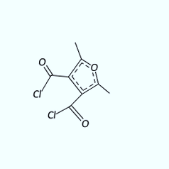 Cc1oc(C)c(C(=O)Cl)c1C(=O)Cl